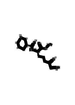 CC(C)OC(=O)[C@H](CCCC(=O)C=N)NC(=O)[C@@H]1CCCOC1